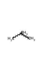 C=CCCCCC[CH2][Al]([CH3])[CH2]CCCCCC=C